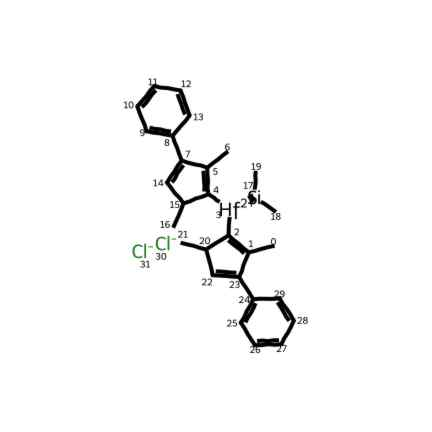 CC1=[C]([Hf+2]([C]2=C(C)C(c3ccccc3)=CC2C)=[Si](C)C)C(C)C=C1c1ccccc1.[Cl-].[Cl-]